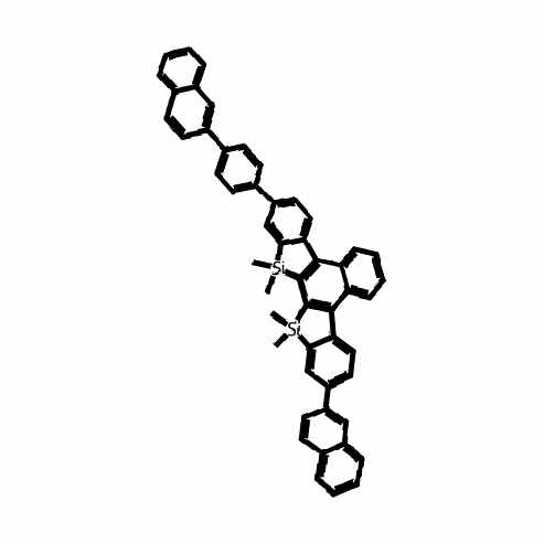 C[Si]1(C)c2cc(-c3ccc(-c4ccc5ccccc5c4)cc3)ccc2-c2c1c1c(c3ccccc23)-c2ccc(-c3ccc4ccccc4c3)cc2[Si]1(C)C